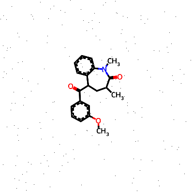 COc1cccc(C(=O)C2CC(C)C(=O)N(C)c3ccccc32)c1